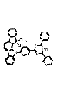 CC1(C)c2ccccc2-c2ccc3c4ccccc4n(-c4ccc(C5=NC(c6ccccc6)NC(c6ccccc6)=N5)cc4)c3c21